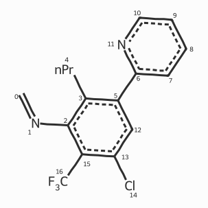 C=Nc1c(CCC)c(-c2ccccn2)cc(Cl)c1C(F)(F)F